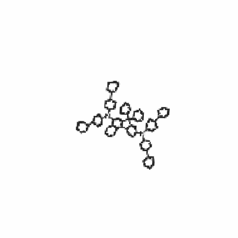 c1ccc(-c2ccc(N(c3ccc(-c4ccccc4)cc3)c3ccc4c(c3)C(c3ccccc3)(c3ccccc3)c3cc(N(c5ccc(-c6ccccc6)cc5)c5ccc(-c6ccccc6)cc5)c5ccccc5c3-4)cc2)cc1